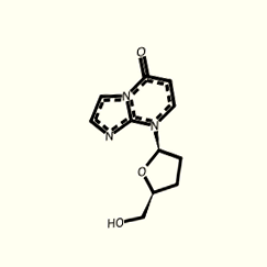 O=c1ccn([C@H]2CC[C@@H](CO)O2)c2nccn12